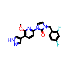 COc1nc(-n2ccn(Cc3ccc(F)cc3F)c2=O)ccc1-c1cn[nH]c1